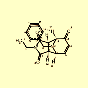 CCN1C(=O)[C@@H]2[C@H](C1=O)[C@@H]1C=CC(=O)[C@H]2N1Cc1cc#ccc1